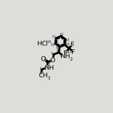 CCNC(=O)OCC(N)c1ccccc1C(F)(F)F.Cl